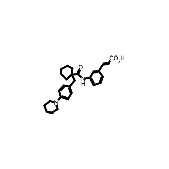 O=C(O)/C=C/c1cccc(NC(=O)C2(Cc3ccc(N4CCCCC4)cc3)CCCCC2)c1